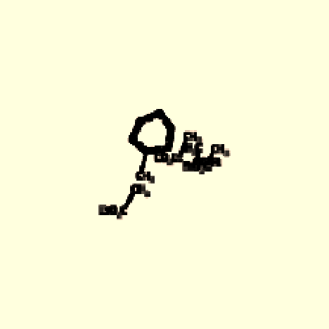 CCOC(C)=O.CCOC(C)=O.CCOC(C)=O.CCOC(C)=O.Cc1ccccc1